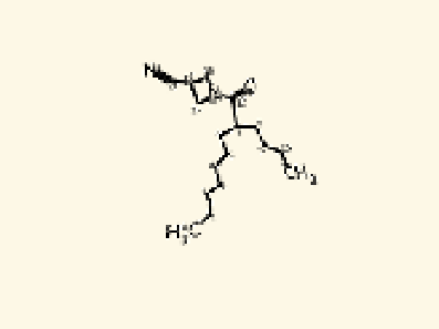 CCCCCCCC(CCCC)C(=O)N1CC(C#N)C1